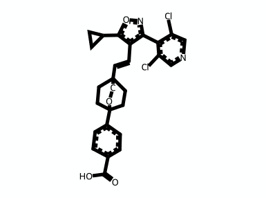 O=C(O)c1ccc(C23CCC(/C=C/c4c(-c5c(Cl)cncc5Cl)noc4C4CC4)(CC2)CO3)cc1